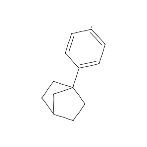 [c]1ccc(C23CCC(CC2)C3)cc1